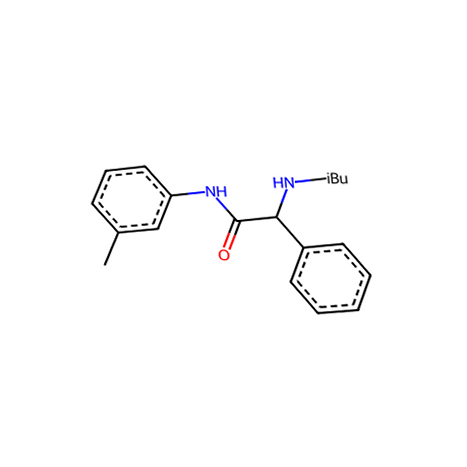 CCC(C)NC(C(=O)Nc1cccc(C)c1)c1ccccc1